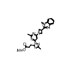 COC(=O)CCc1nc(C)nn1-c1cc(N2CC(c3nc4ccccc4n3C)C2)nc(C)n1